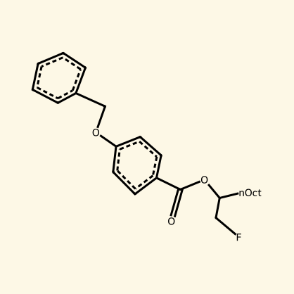 CCCCCCCCC(CF)OC(=O)c1ccc(OCc2ccccc2)cc1